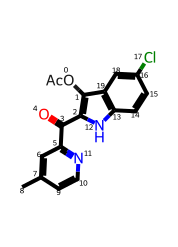 CC(=O)Oc1c(C(=O)c2cc(C)ccn2)[nH]c2ccc(Cl)cc12